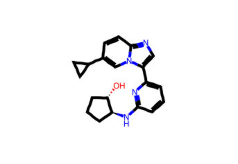 O[C@H]1CCC[C@@H]1Nc1cccc(-c2cnc3ccc(C4CC4)cn23)n1